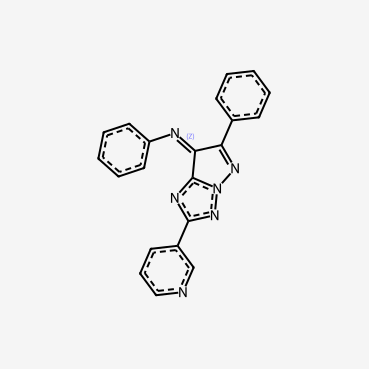 c1ccc(/N=C2/C(c3ccccc3)=Nn3nc(-c4cccnc4)nc32)cc1